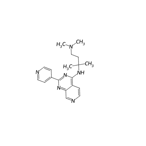 CN(C)CCC(C)(C)Nc1nc(-c2ccncc2)nc2cnccc12